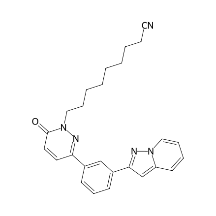 N#CCCCCCCCCn1nc(-c2cccc(-c3cc4ccccn4n3)c2)ccc1=O